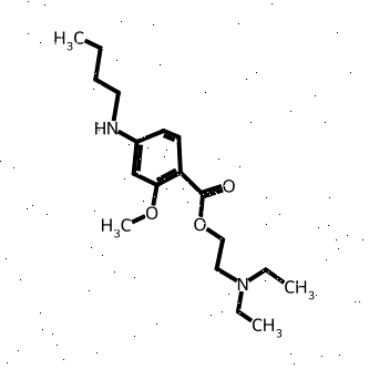 CCCCNc1ccc(C(=O)OCCN(CC)CC)c(OC)c1